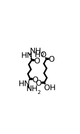 NNC(=O)CCCC(=O)NN.O=C(O)CCCCC(=O)O